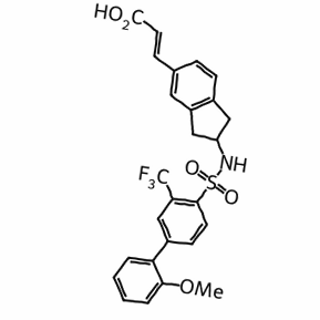 COc1ccccc1-c1ccc(S(=O)(=O)NC2Cc3ccc(C=CC(=O)O)cc3C2)c(C(F)(F)F)c1